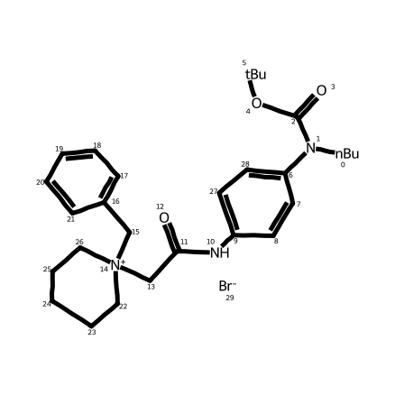 CCCCN(C(=O)OC(C)(C)C)c1ccc(NC(=O)C[N+]2(Cc3ccccc3)CCCCC2)cc1.[Br-]